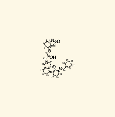 O=C1N=c2cccc(OCC(O)CN(CCOc3ccccc3OCc3ccccc3)Cc3ccccc3)c2=N1